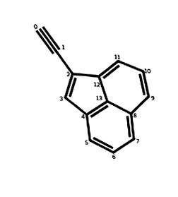 C#CC1=Cc2cccc3cccc1c23